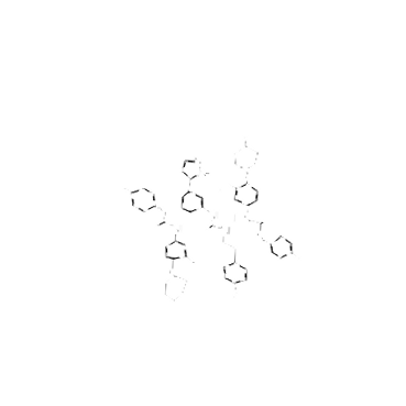 CCc1ccc(NC(=O)Nc2ccc(N3CCCCC3)c(F)c2)cc1.Cn1nccc1-c1cccc(NC(=O)NCCc2ccc(Cl)cc2)c1.O=C(Nc1ccc(Cl)cc1)Nc1ccc(N2CCC(O)CC2)c(F)c1